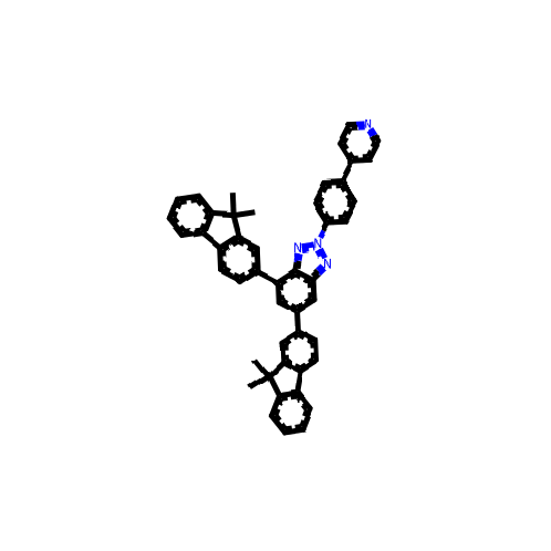 CC1(C)c2ccccc2-c2ccc(-c3cc(-c4ccc5c(c4)C(C)(C)c4ccccc4-5)c4nn(-c5ccc(-c6ccncc6)cc5)nc4c3)cc21